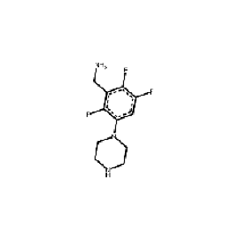 NCc1c(F)c(F)cc(N2CCNCC2)c1F